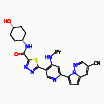 CC(C)Nc1cc(-c2ccc3cc(C#N)cnn23)ncc1-c1nnc(C(=O)N[C@H]2CC[C@@H](O)CC2)s1